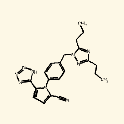 CCCc1nc(CCC)n(Cc2ccc(-n3c(C#N)ccc3-c3nnn[nH]3)cc2)n1